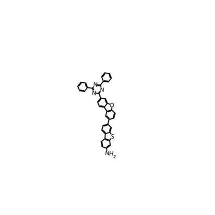 Nc1ccc2c(c1)sc1cc(-c3ccc4oc5cc(-c6nc(-c7ccccc7)nc(-c7ccccc7)n6)ccc5c4c3)ccc12